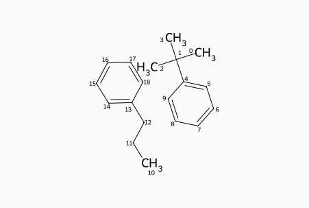 CC(C)(C)c1ccccc1.CCCc1ccccc1